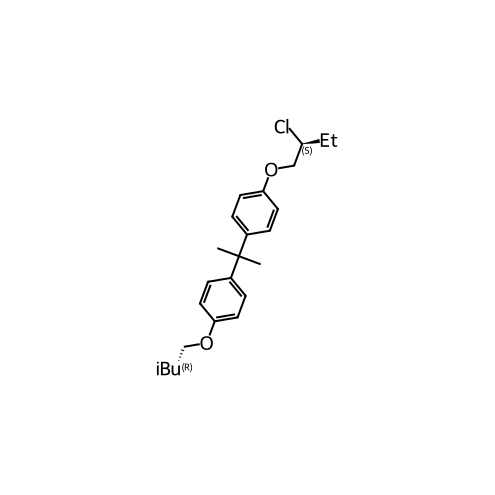 CC[C@@H](C)COc1ccc(C(C)(C)c2ccc(OC[C@@H](Cl)CC)cc2)cc1